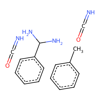 Cc1ccccc1.N=C=O.N=C=O.NC(N)c1ccccc1